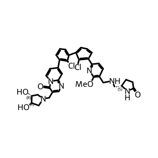 COc1nc(-c2cccc(-c3cccc(-c4ccn5c(=O)c(CN6C[C@@H](O)[C@H](O)C6)cnc5c4)c3Cl)c2Cl)ccc1CNC[C@@H]1CCC(=O)N1